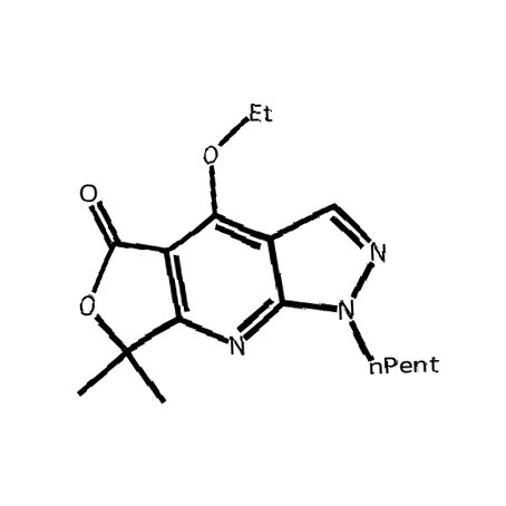 CCCCCn1ncc2c(OCC)c3c(nc21)C(C)(C)OC3=O